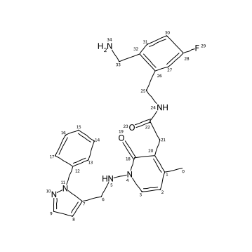 Cc1ccn(NCc2ccnn2-c2ccccc2)c(=O)c1CC(=O)NCc1cc(F)ccc1CN